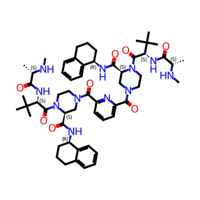 CN[C@@H](C)C(=O)N[C@H](C(=O)N1CCN(C(=O)c2cccc(C(=O)N3CCN(C(=O)[C@@H](NC(=O)[C@H](C)NC)C(C)(C)C)[C@H](C(=O)N[C@@H]4CCCc5ccccc54)C3)n2)C[C@H]1C(=O)N[C@@H]1CCCc2ccccc21)C(C)(C)C